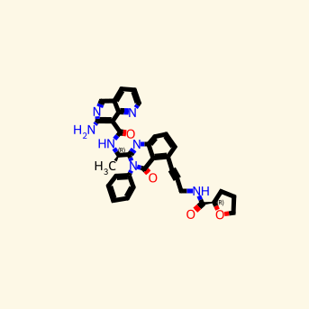 C[C@@H](NC(=O)c1c(N)ncc2cccnc12)c1nc2cccc(C#CCNC(=O)[C@H]3CCCO3)c2c(=O)n1-c1ccccc1